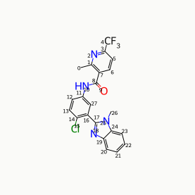 Cc1nc(C(F)(F)F)ccc1C(=O)Nc1ccc(Cl)c(-c2nc3ccccc3n2C)c1